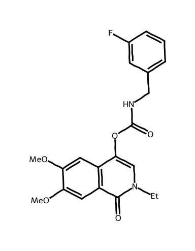 CCn1cc(OC(=O)NCc2cccc(F)c2)c2cc(OC)c(OC)cc2c1=O